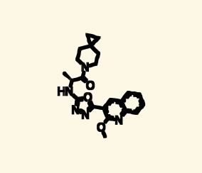 COc1nc2ccccc2cc1-c1nnc(N[C@@H](C)C(=O)N2CCC3(CC2)CC3)o1